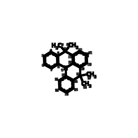 CC1(C)c2ccccc2N2c3ccccc3C(C)(C)c3cncc1c32